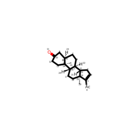 CC(=O)C1=CC[C@H]2[C@@H]3CC[C@@H]4CC(=O)CC[C@]4(C)[C@H]3CC[C@]12C